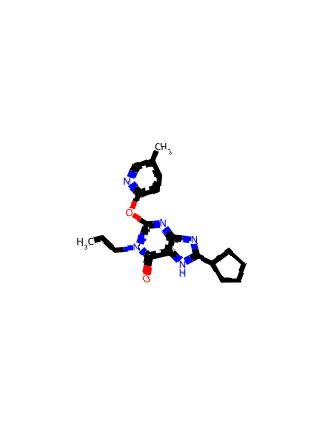 CCCn1c(Oc2ccc(C)cn2)nc2nc(C3CCCC3)[nH]c2c1=O